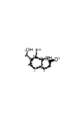 O=c1ccc2ccc(CO)c(F)c2[nH]1